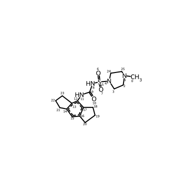 CN1CCN(S(=O)(=O)NC(=O)Nc2c3c(cc4c2CCC4)CCC3)CC1